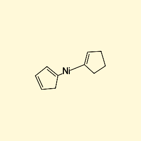 C1=CC[C]([Ni][C]2=CCCC2)=C1